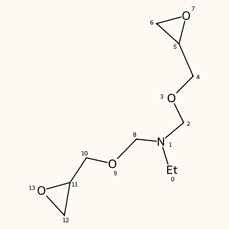 CCN(COCC1CO1)COCC1CO1